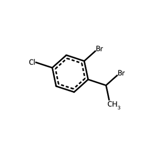 CC(Br)c1ccc(Cl)cc1Br